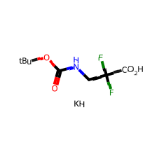 CC(C)(C)OC(=O)NCC(F)(F)C(=O)O.[KH]